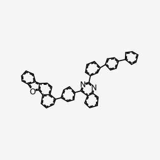 c1ccc(-c2ccc(-c3cccc(-c4nc(-c5ccc(-c6cccc7c6ccc6c8ccccc8oc76)cc5)c5ccccc5n4)c3)cc2)cc1